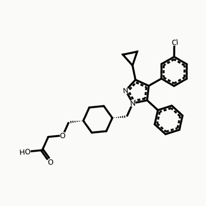 O=C(O)COC[C@H]1CC[C@@H](Cn2nc(C3CC3)c(-c3cccc(Cl)c3)c2-c2ccccc2)CC1